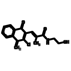 C=C1C(Cl)=C(/C=C(\C)C(=O)NCCO)C(=O)c2ccccc21